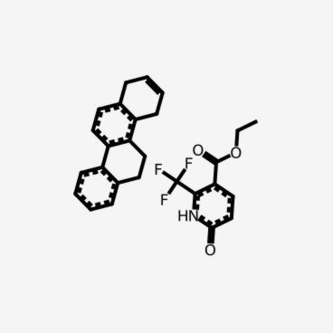 C1=CCc2c(ccc3c2CCc2ccccc2-3)C1.CCOC(=O)c1ccc(=O)[nH]c1C(F)(F)F